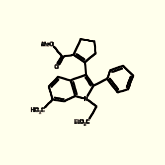 CCOC(=O)Cn1c(-c2ccccc2)c(C2=C(C(=O)OC)CCC2)c2ccc(C(=O)O)cc21